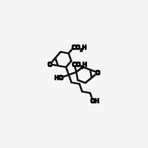 O=C(O)C1CC2OC2C(C(O)(CCCCO)C2(C(=O)O)CCC3OC3C2)C1